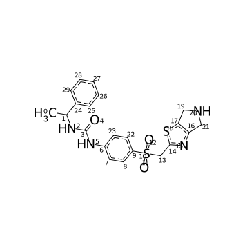 CC(NC(=O)Nc1ccc(S(=O)(=O)Cc2nc3c(s2)CNC3)cc1)c1ccccc1